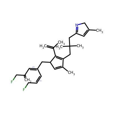 C=C(/C=C(\C=C/CF)CC1C=C(C)C(CC(C)(C)CC2=NCC(C)=C2)=C1C(=C)C)CF